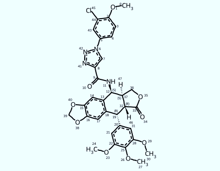 COc1ccc(-n2cc(C(=O)N[C@@H]3c4cc5c(cc4[C@@H](c4cc(OC)c(OC)c(OC)c4)[C@H]4C(=O)OC[C@@H]43)OCO5)nn2)cc1Cl